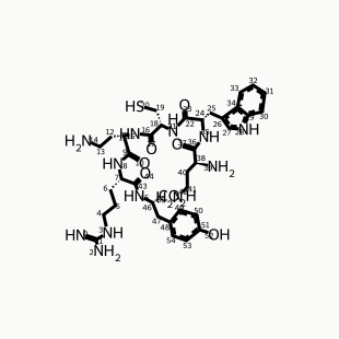 N=C(N)NCCC[C@H](NC(=O)[C@H](CCN)NC(=O)[C@H](CS)NC(=O)[C@H](Cc1c[nH]c2ccccc12)NC(=O)[C@@H](N)CCN)C(=O)N[C@@H](Cc1ccc(O)cc1)C(=O)O